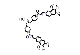 COc1cc2ccc(/C=C/C(=O)N3CCC(CN(C)CC4CCN(C(=O)/C=C/c5ccc6cc(OC)c(OC)c(OC)c6c5)CC4)CC3)cc2c(OC)c1OC.Cl